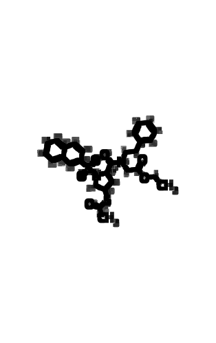 CCOC(=O)CN(CCc1ccccc1)C(=O)C1CC(SC(C)=O)CN1S(=O)(=O)c1ccc2ccccc2c1